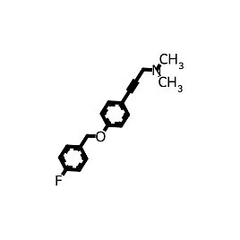 CN(C)CC#Cc1ccc(OCc2ccc(F)cc2)cc1